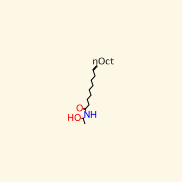 CCCCCCCCC=CCCCCCCCC(=O)NC(C)O